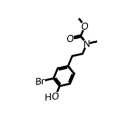 COC(=O)N(C)CCc1ccc(O)c(Br)c1